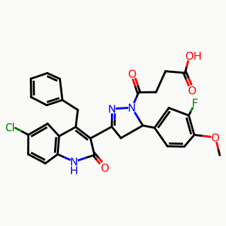 COc1ccc(C2CC(c3c(Cc4ccccc4)c4cc(Cl)ccc4[nH]c3=O)=NN2C(=O)CCC(=O)O)cc1F